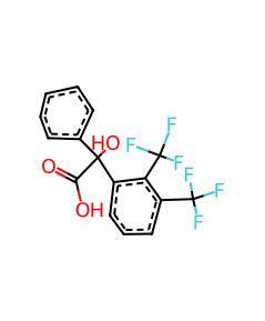 O=C(O)C(O)(c1ccccc1)c1cccc(C(F)(F)F)c1C(F)(F)F